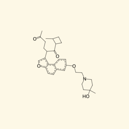 CC(=O)CCC(C(=O)C1CCC1C)c1coc2ccc3cc(OCCN4CCC(C)(O)CC4)ccc3c12